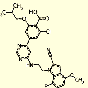 COc1ccc(F)c2c1cc(C#N)n2CCNc1cc(-c2cc(Cl)c(C(=O)O)c(OCC(C)C)c2)ncn1